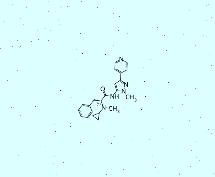 CN(C1CC1)[C@@H](Cc1ccccc1)C(=O)Nc1cc(-c2ccncc2)nn1C